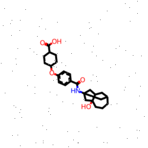 O=C(NC12CC3CCCC(O)(C1)C(C3)C2)c1ccc(OC2CCC(C(=O)O)CC2)cc1